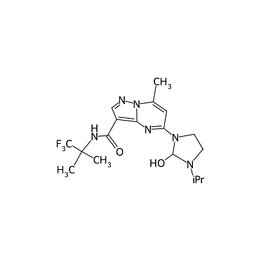 Cc1cc(N2CCN(C(C)C)C2O)nc2c(C(=O)NC(C)(C)C(F)(F)F)cnn12